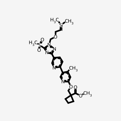 COC(=O)C1(COc2cc(C)c(-c3ccc(-c4nc(S(C)(=O)=O)n(COCC[SiH](C)C)n4)cn3)cn2)CCC1